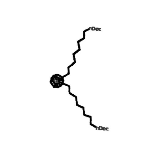 CCCCCCCCCCCCCCCCCC[C]12[CH]3[CH]4[CH]5[C]1(CCCCCCCCCCCCCCCCCC)[Fe]43521678[CH]2[CH]1[CH]6[CH]7[CH]28